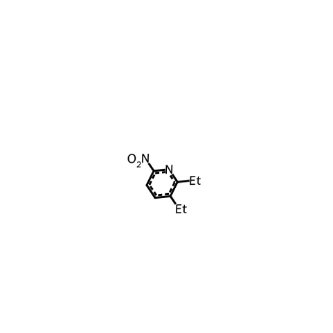 CCc1ccc([N+](=O)[O-])nc1CC